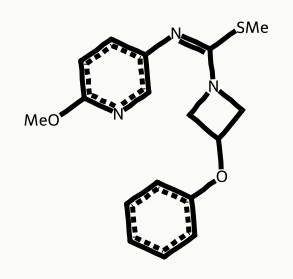 COc1ccc(N=C(SC)N2CC(Oc3ccccc3)C2)cn1